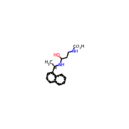 C[C@@H](NC(O)CCNC(=O)O)c1cccc2ccccc12